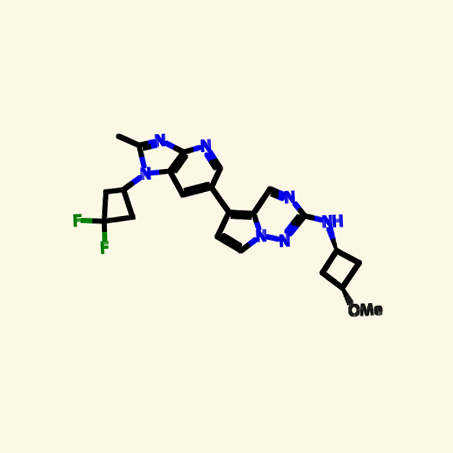 CO[C@H]1C[C@@H](Nc2ncc3c(-c4cnc5nc(C)n(C6CC(F)(F)C6)c5c4)ccn3n2)C1